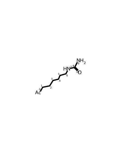 CC(=O)CCCCCCNC(N)=O